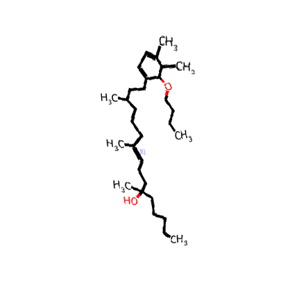 CCCCCC(C)(O)CC/C=C(\C)CCCC(C)CCC1=CC=C(C)C(C)C1OCCCC